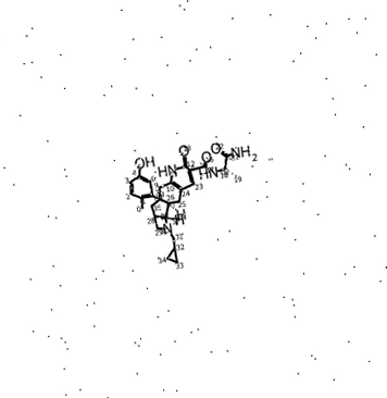 Cc1ccc(O)cc1[C@@]12Cc3[nH]c(=O)c(C(=O)N[C@@H](C)C(N)=O)cc3C[C@H]1[C@H]1C(CN1CC1CC1)C2